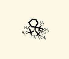 CC(C)(C)N(C(C)(C)C)C1(C(C)(C)C)CCCCC1